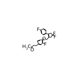 CC(=O)CCc1ccc(OCC2=C(c3ccc(F)cc3)CC(F)(F)C2)c(F)c1